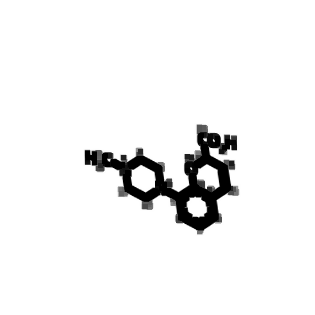 CN1CCN(c2cccc3c2OC(C(=O)O)C=C3)CC1